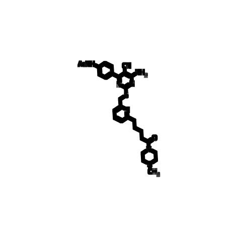 CC(=O)Nc1ccc(-c2nc(SCc3cccc(CCCCC(=O)N4CCN(C)CC4)n3)nc(N)c2C#N)cc1